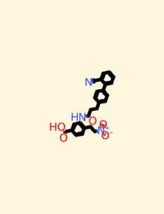 N#Cc1ccccc1-c1ccc(CCC(=O)Nc2cc(C(=O)O)ccc2CC[N+](=O)[O-])cc1